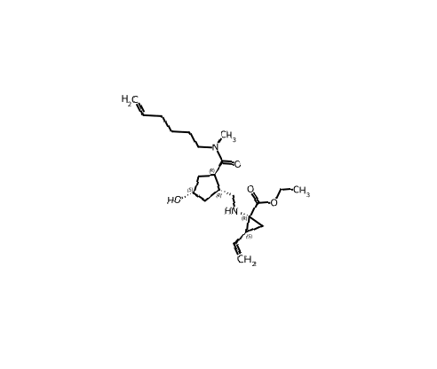 C=CCCCCN(C)C(=O)[C@@H]1C[C@@H](O)C[C@H]1CN[C@]1(C(=O)OCC)C[C@H]1C=C